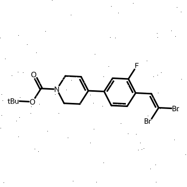 CC(C)(C)OC(=O)N1CC=C(c2ccc(C=C(Br)Br)c(F)c2)CC1